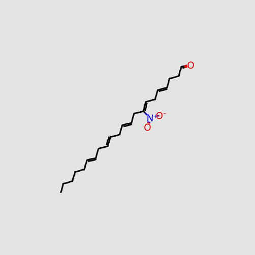 CCCCCC=CCC=CCC=CCC(=CCC=CCCC=O)[N+](=O)[O-]